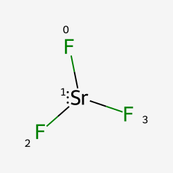 [F][Sr]([F])[F]